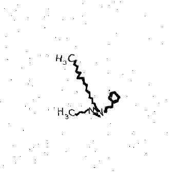 CCCCCCCCCCCCCCCCc1n(CCCCC)cc[n+]1CCCc1ccccc1